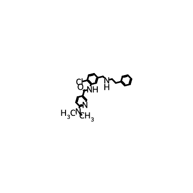 CN(C)c1ccc(C(=O)Nc2cc(CNCCc3ccccc3)ccc2Cl)cn1